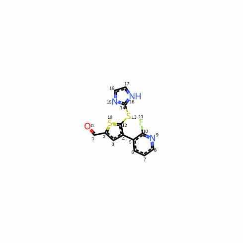 O=Cc1cc(-c2cccnc2F)c(Sc2ncc[nH]2)s1